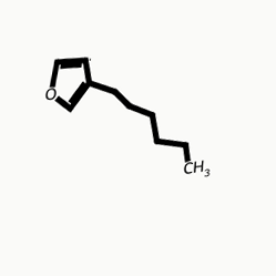 CCCCCCc1[c]coc1